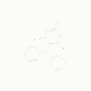 CC(C)c1cc(N)cc(C(C)C)c1C(c1ccccc1)c1ccccc1